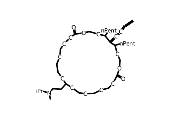 C=C=C=C=C1C(CCCCC)CCOC(=O)CCCCCCCC(CCN(C)C(C)C)CCCCCCCC(=O)OCCC1CCCCC